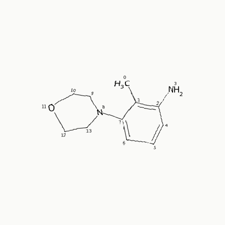 Cc1c(N)cccc1N1CCOCC1